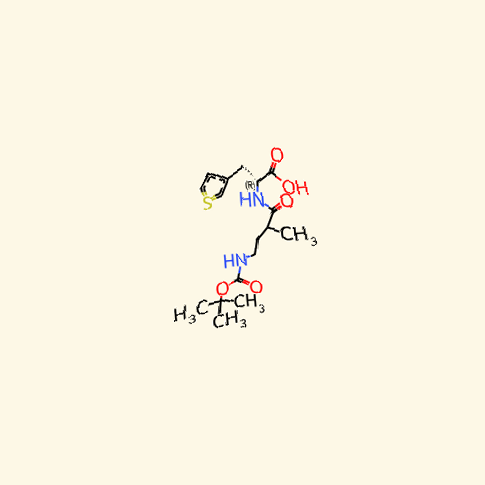 CC(CCNC(=O)OC(C)(C)C)C(=O)N[C@H](Cc1ccsc1)C(=O)O